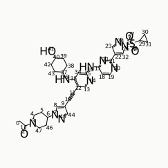 CC(=O)N1CCC(n2cc(C#Cc3cnc(Nc4ccnc(-c5cnn(S(=O)(=O)C6CC6)c5)n4)cc3NC3CCC(O)CC3)cn2)CC1